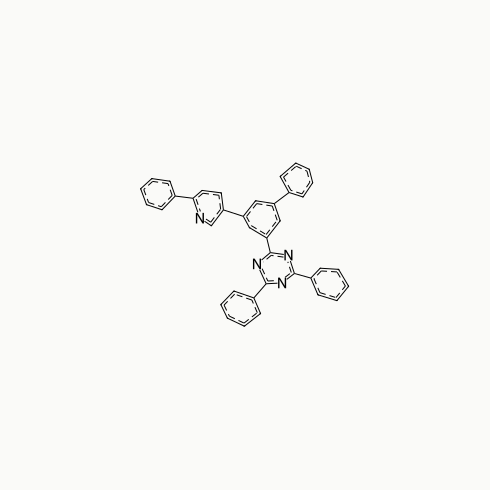 c1ccc(-c2cc(-c3ccc(-c4ccccc4)nc3)cc(-c3nc(-c4ccccc4)nc(-c4ccccc4)n3)c2)cc1